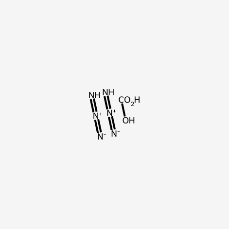 O=C(O)O.[N-]=[N+]=N.[N-]=[N+]=N